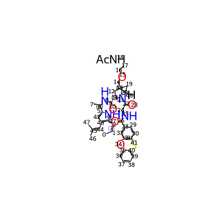 C/C=C\c1[nH]c([C@@H](C)NC(=O)[C@@H]2C[C@]3(COCCNC(C)=O)C[C@@H]3N2C(=O)CNC(=O)c2ccc3c(c2)Oc2ccccc2S3)cc1C=C(C)C